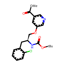 COC(=O)c1cncc(OC[C@H](Cc2ccccc2Cl)NC(=O)OC(C)(C)C)c1